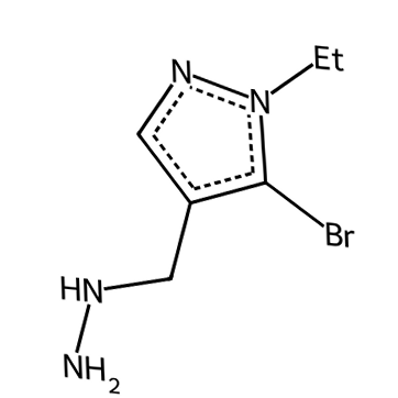 CCn1ncc(CNN)c1Br